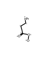 CCCCCC(=O)O[O]